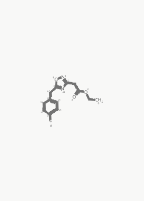 CCOC(=O)Cc1noc(Cc2ccc(F)cc2)n1